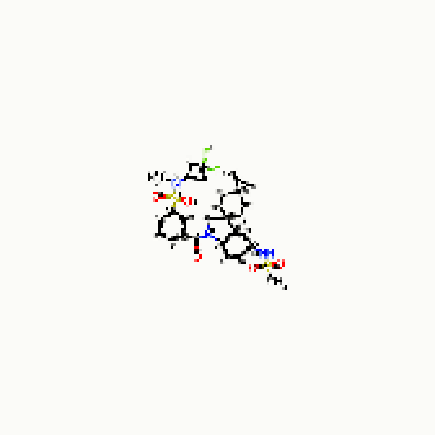 CN(C1CC(F)(F)C1)S(=O)(=O)c1cccc(C(=O)N2CC3(CCC4(CC4)CC3)c3cc(NS(C)(=O)=O)ccc32)c1